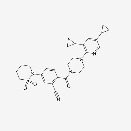 N#Cc1cc(N2CCCCS2(=O)=O)ccc1C(=O)N1CCN(c2ncc(C3CC3)cc2C2CC2)CC1